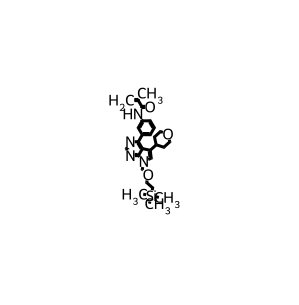 C=C(C)C(=O)Nc1cccc(-c2ncnc3c2c(C2CCOCC2)cn3COCC[Si](C)(C)C)c1